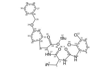 CC(C)CC(NC(=O)Nc1cccc(Cl)c1Cl)C(=O)NC(Cc1ccc(OCc2ccccc2)cc1)C(=O)OC(C)(C)C